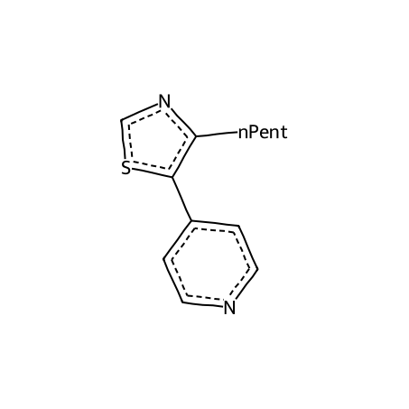 CCCCCc1ncsc1-c1ccncc1